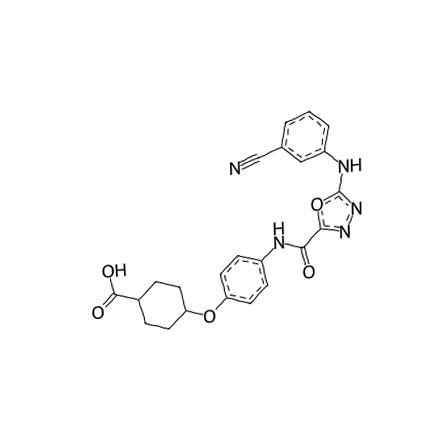 N#Cc1cccc(Nc2nnc(C(=O)Nc3ccc(OC4CCC(C(=O)O)CC4)cc3)o2)c1